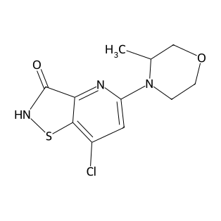 CC1COCCN1c1cc(Cl)c2s[nH]c(=O)c2n1